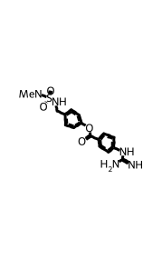 CNS(=O)(=O)NCc1ccc(OC(=O)c2ccc(NC(=N)N)cc2)cc1